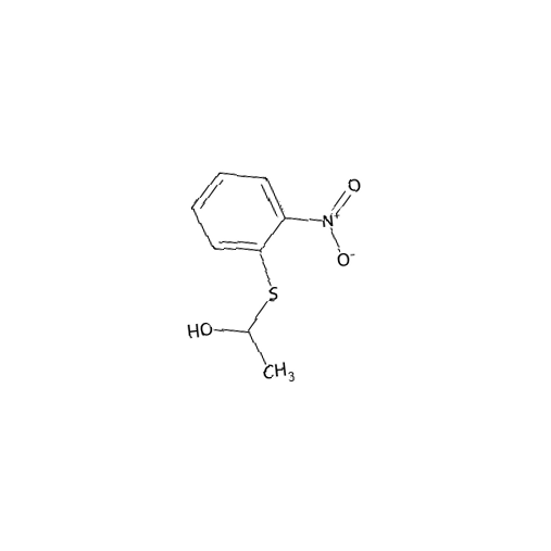 CC(O)Sc1ccccc1[N+](=O)[O-]